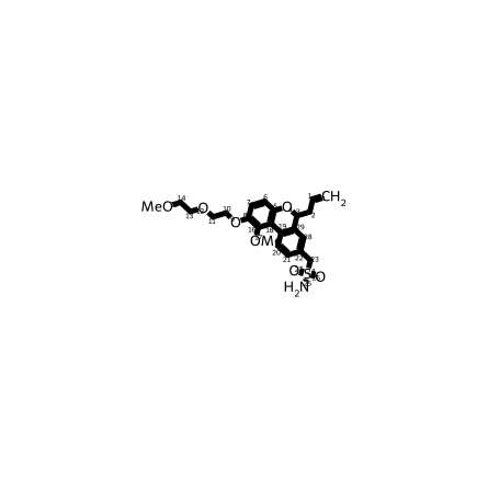 C=CCC1Oc2ccc(OCCOCCOC)c(OC)c2-c2ccc(CS(N)(=O)=O)cc21